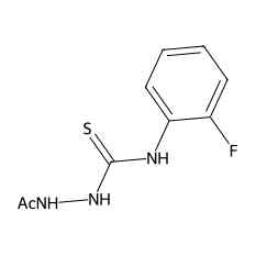 CC(=O)NNC(=S)Nc1ccccc1F